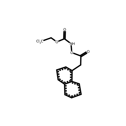 O=C(Cc1cccc2ccccc12)ONC(=O)OCC(Cl)(Cl)Cl